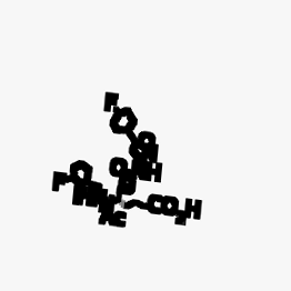 CC(=O)N(NCc1cccc(F)c1F)[C@@H](CCCC(=O)O)COC(=O)Nc1cc(-c2ccc(F)cc2)on1